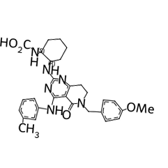 COc1ccc(CN2CCc3nc(N[C@@H]4CCCC[C@@H]4NC(=O)O)nc(Nc4cccc(C)c4)c3C2=O)cc1